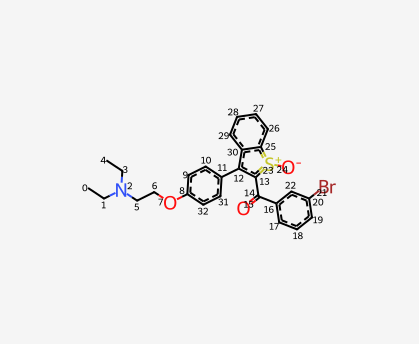 CCN(CC)CCOc1ccc(-c2c(C(=O)c3cccc(Br)c3)[s+]([O-])c3ccccc23)cc1